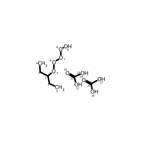 CCC(CC)OOOOO.O=C(O)O.O=C(O)O